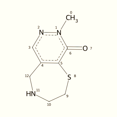 Cn1ncc2c(c1=O)SCCNC2